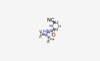 N#C[C@H]1CCC[C@@H](C(=O)NC(C2CC2)C2CC2)C1